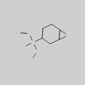 CCC[Si](OC(C)C)(OC(C)C)C1CCC2OC2C1